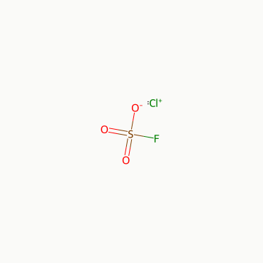 O=S(=O)([O-])F.[Cl+]